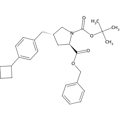 CC(C)(C)OC(=O)N1C[C@@H](Cc2ccc(C3CCC3)cc2)C[C@@H]1C(=O)OCc1ccccc1